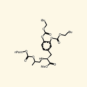 CCCCCOC(=O)OC(C)CN[C@@H](Cc1ccc(OC(=O)OCC(C)CC)c(OC(=O)OCC(C)CC)c1)C(=O)OC